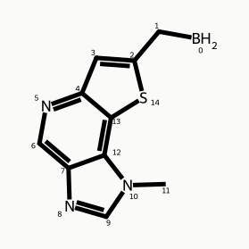 BCc1cc2ncc3ncn(C)c3c2s1